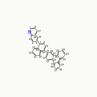 c1cnc2ccc(-c3ccc(-c4ccc5c6ccccc6c6ccccc6c5c4)c4ccccc34)cc2c1